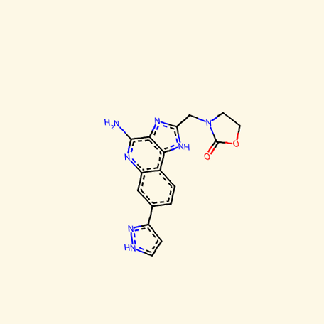 Nc1nc2cc(-c3cc[nH]n3)ccc2c2[nH]c(CN3CCOC3=O)nc12